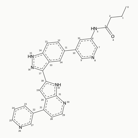 CCCC(=O)Nc1cncc(-c2ccc3[nH]nc(-c4cc5c(-c6cccnc6)ccnc5[nH]4)c3c2)c1